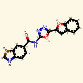 O=C(Nc1nnc(-c2cc3ccccc3o2)o1)c1ccc2ncsc2c1